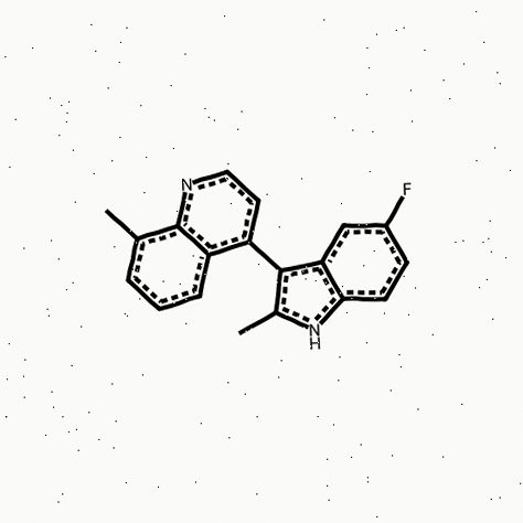 Cc1[nH]c2ccc(F)cc2c1-c1ccnc2c(C)cccc12